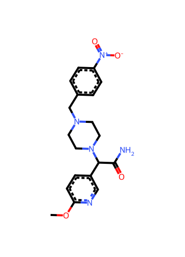 COc1ccc(C(C(N)=O)N2CCN(Cc3ccc([N+](=O)[O-])cc3)CC2)cn1